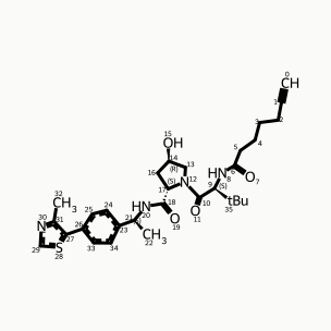 C#CCCCCC(=O)N[C@H](C(=O)N1C[C@H](O)C[C@H]1C(=O)N[C@@H](C)c1ccc(-c2scnc2C)cc1)C(C)(C)C